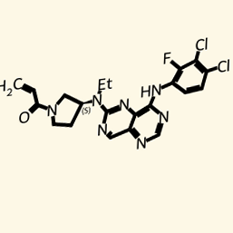 C=CC(=O)N1CC[C@H](N(CC)c2ncc3ncnc(Nc4ccc(Cl)c(Cl)c4F)c3n2)C1